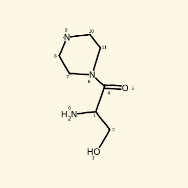 NC(CO)C(=O)N1CC[N]CC1